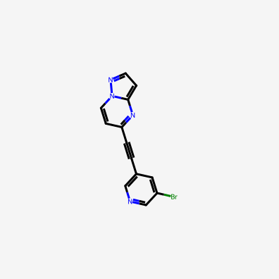 Brc1cncc(C#Cc2ccn3nccc3n2)c1